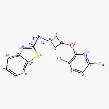 Fc1ccc(I)c(OC2CC(Nc3nc4ccccc4s3)C2)n1